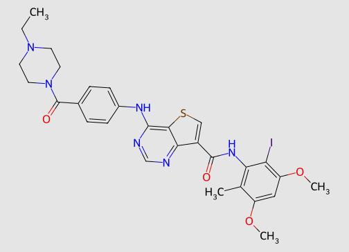 CCN1CCN(C(=O)c2ccc(Nc3ncnc4c(C(=O)Nc5c(C)c(OC)cc(OC)c5I)csc34)cc2)CC1